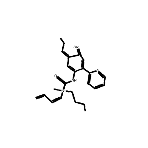 C=C/C=C\[N+](C)(CCCC)C(=O)NC1=C/C(=C/CC)C(=N)C=C1c1ccccn1